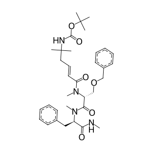 CNC(=O)[C@@H](Cc1ccccc1)N(C)C(=O)[C@@H](COCc1ccccc1)N(C)C(=O)C=CCC(C)(C)NC(=O)OC(C)(C)C